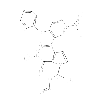 CC(OC=O)n1ccc2c(-c3cc([N+](=O)[O-])ccc3Oc3ccccc3)nn(C)c(=O)c21